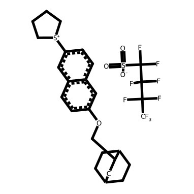 O=S(=O)([O-])C(F)(F)C(F)(F)C(F)(F)C(F)(F)F.c1cc2cc([S+]3CCCC3)ccc2cc1OCC1CC2CCC1CC2